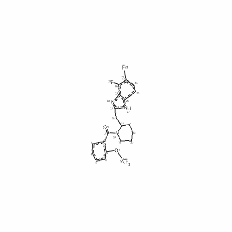 O=C(c1ccccc1OC(F)(F)F)N1CCCCC1Cc1nc2c(F)c(F)ccc2[nH]1